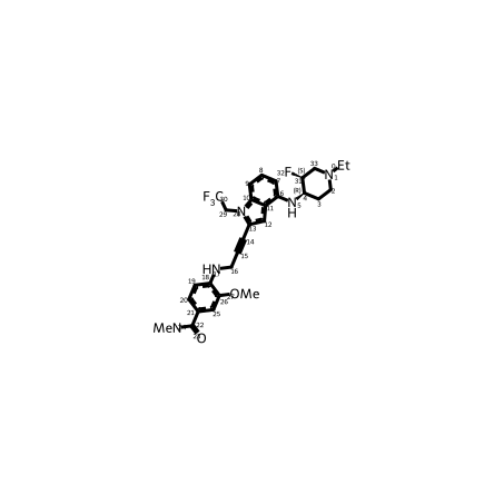 CCN1CC[C@@H](Nc2cccc3c2cc(C#CCNc2ccc(C(=O)NC)cc2OC)n3CC(F)(F)F)[C@@H](F)C1